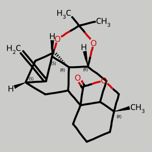 C=C1[C@H]2CC[C@@]34C(C2)C25CCC[C@@](C)(COC2=O)C5C[C@H]3OC(C)(C)O[C@@H]14